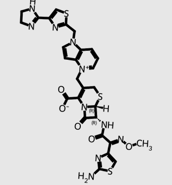 CON=C(C(=O)N[C@@H]1C(=O)N2C(C(=O)[O-])=C(C[n+]3cccc4c3ccn4Cc3nc(C4=NCCN4)cs3)CS[C@H]12)c1csc(N)n1